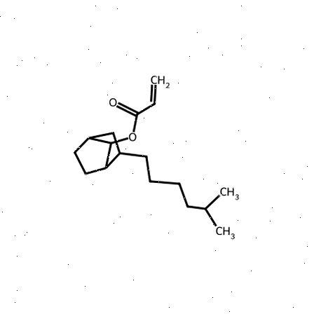 C=CC(=O)OC1C2CCC1C(CCCCC(C)C)C2